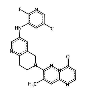 Cc1cc2nccc(=O)n2nc1N1CCc2ncc(Nc3cc(Cl)cnc3F)cc2C1